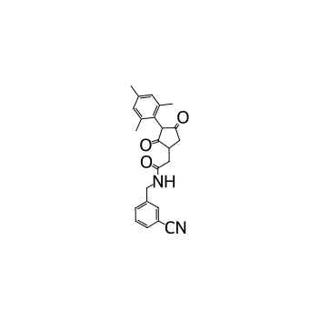 Cc1cc(C)c(C2C(=O)CC(CC(=O)NCc3cccc(C#N)c3)C2=O)c(C)c1